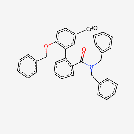 O=Cc1ccc(OCc2ccccc2)c(-c2ccccc2C(=O)N(Cc2ccccc2)Cc2ccccc2)c1